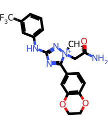 C[N+]1(CC(N)=O)N=C(Nc2cccc(C(F)(F)F)c2)N=C1c1ccc2c(c1)OCCO2